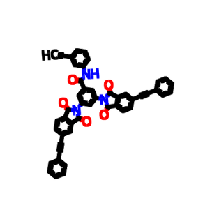 C#Cc1cccc(NC(=O)c2cc(N3C(=O)c4ccc(C#Cc5ccccc5)cc4C3=O)cc(N3C(=O)c4ccc(C#Cc5ccccc5)cc4C3=O)c2)c1